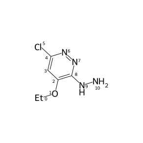 CCOc1cc(Cl)nnc1NN